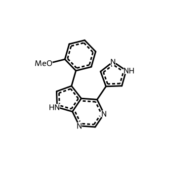 COc1ccccc1-c1c[nH]c2ncnc(-c3cn[nH]c3)c12